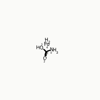 NC(=O)O.[PoH2]